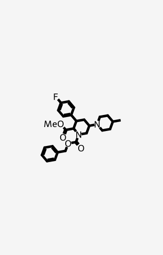 COC(=O)C1C(c2ccc(F)cc2)CC(N2CCC(C)CC2)CN1C(=O)OCc1ccccc1